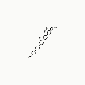 C/C=C/C1CCC(C2CCC(c3ccc(-c4ccc(-c5ccc(OCCC)c(F)c5F)cc4)c(F)c3)CC2)CC1